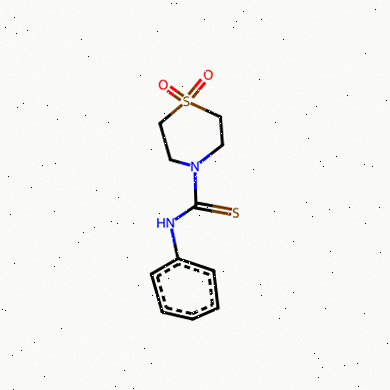 O=S1(=O)CCN(C(=S)Nc2ccccc2)CC1